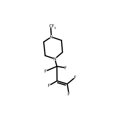 FC(F)=C(F)C(F)(F)N1CCN(C(F)(F)F)CC1